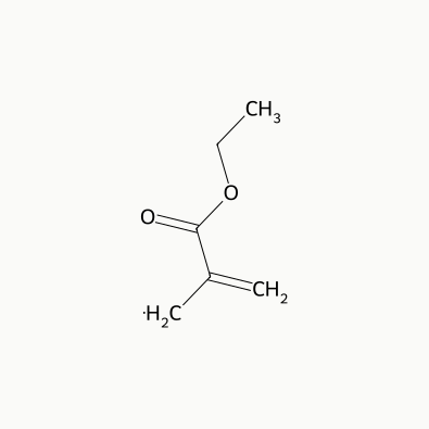 [CH2]C(=C)C(=O)OCC